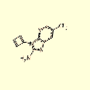 Nc1nc2cc(C(F)(F)F)cnc2n1C1=CC=C1